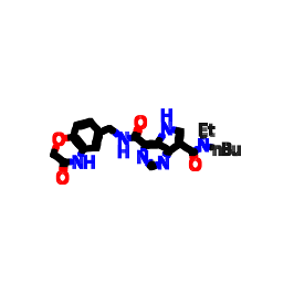 CCCCN(CC)C(=O)c1c[nH]c2c(C(=O)NCc3ccc4c(c3)NC(=O)CO4)ncnc12